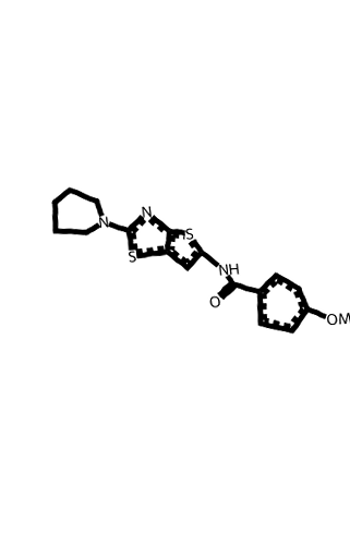 COc1ccc(C(=O)Nc2cc3sc(N4CCCCC4)nc3s2)cc1